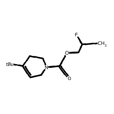 CC(F)COC(=O)N1CC=C(C(C)(C)C)CC1